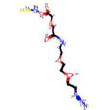 [N-]=[N+]=NCCOCCOCCNC(=O)COCC(=O)ONS